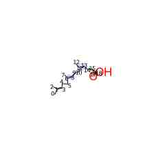 CC(C)=CCC/C(C)=C/CC/C(C)=C\CCC(=O)O